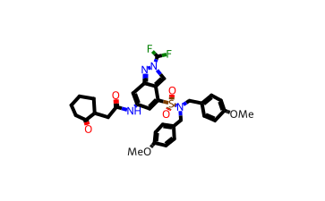 COc1ccc(CN(Cc2ccc(OC)cc2)S(=O)(=O)c2cc(NC(=O)CC3CCCCC3=O)cc3nn(C(F)F)cc23)cc1